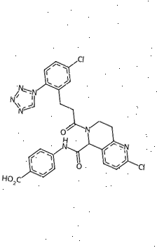 O=C(O)c1ccc(NC(=O)C2c3ccc(Cl)nc3CCN2C(=O)CCc2cc(Cl)ccc2-n2cnnn2)cc1